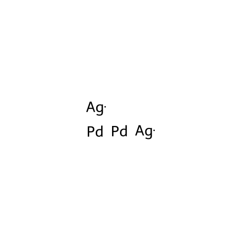 [Ag].[Ag].[Pd].[Pd]